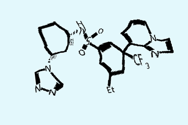 CCC1=CC(S(=O)(=O)N[C@H]2CCC[C@@H](n3cnnc3)C2)=CC(c2cccn3ccnc23)(C(F)(F)F)C1